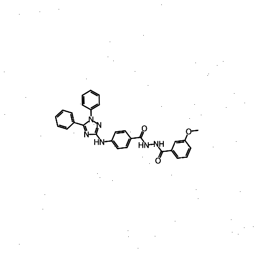 COc1cccc(C(=O)NNC(=O)c2ccc(Nc3nc(-c4ccccc4)n(-c4ccccc4)n3)cc2)c1